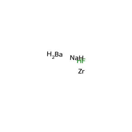 F.[BaH2].[NaH].[Zr]